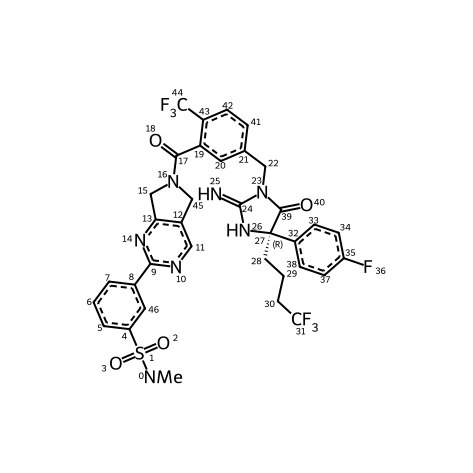 CNS(=O)(=O)c1cccc(-c2ncc3c(n2)CN(C(=O)c2cc(CN4C(=N)N[C@](CCCC(F)(F)F)(c5ccc(F)cc5)C4=O)ccc2C(F)(F)F)C3)c1